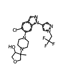 CC1(N2CCN(c3cc4c(cnn4-c4cnn(CC(F)(F)F)c4)cc3Cl)CC2)COCC1O